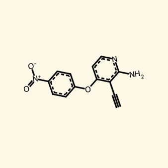 C#Cc1c(Oc2ccc([N+](=O)[O-])cc2)ccnc1N